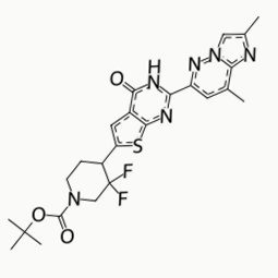 Cc1cn2nc(-c3nc4sc(C5CCN(C(=O)OC(C)(C)C)CC5(F)F)cc4c(=O)[nH]3)cc(C)c2n1